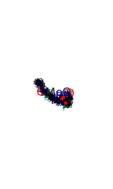 COC(=O)N[C@H]1CCC[C@@H]1[C@](CN1CCC1)(c1cccc(F)c1)C1CCN(CC2CN(c3ccc(C(F)(F)C4CN(C(=O)/C=C/CN5CCCCC5)C4)cc3)C2)CC1